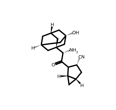 N#C[C@@H]1C[C@@H]2C[C@@H]2C1C(=O)[C@@H](N)[C@@]12C[C@@H]3C[C@@H](C[C@@](O)(C3)C1)C2